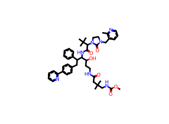 COC(=O)NCC(C)(C)CC(=O)NCCC(O)C(NC(=O)C(N1CCN(Cc2cccnc2C)C1=O)C(C)(C)C)C(Cc1ccc(-c2ccccn2)cc1)c1ccccc1